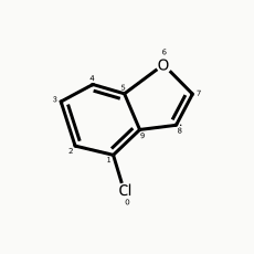 Clc1cccc2oc[c]c12